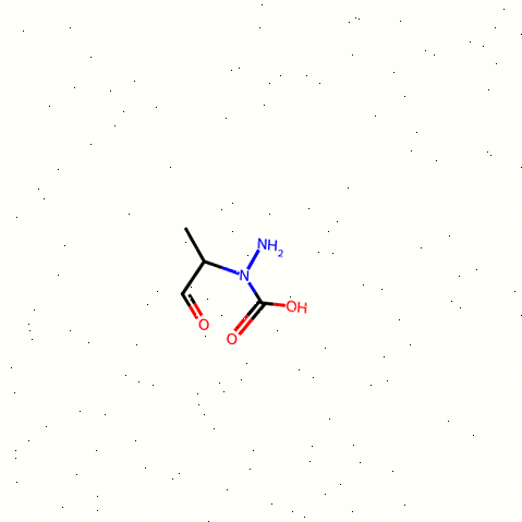 CC(C=O)N(N)C(=O)O